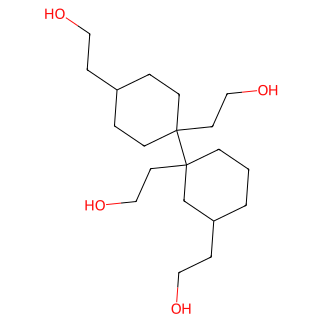 OCCC1CCC(CCO)(C2(CCO)CCCC(CCO)C2)CC1